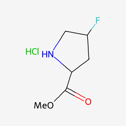 COC(=O)C1CC(F)CN1.Cl